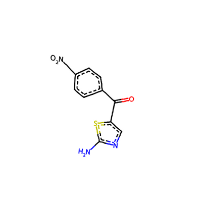 Nc1ncc(C(=O)c2ccc([N+](=O)[O-])cc2)s1